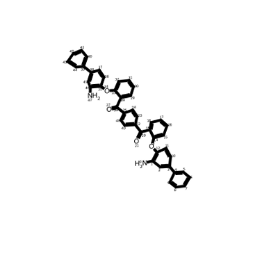 Nc1cc(-c2ccccc2)ccc1Oc1ccccc1C(=O)c1ccc(C(=O)c2ccccc2Oc2ccc(-c3ccccc3)cc2N)cc1